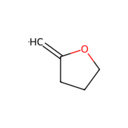 [CH]=C1CCCO1